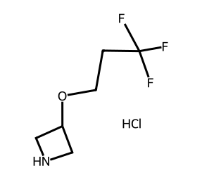 Cl.FC(F)(F)CCOC1CNC1